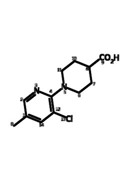 Cc1cnc(N2CCC(C(=O)O)CC2)c(Cl)c1